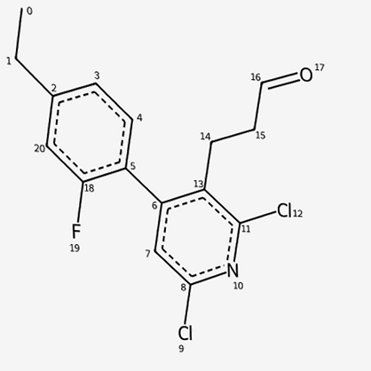 CCc1ccc(-c2cc(Cl)nc(Cl)c2CCC=O)c(F)c1